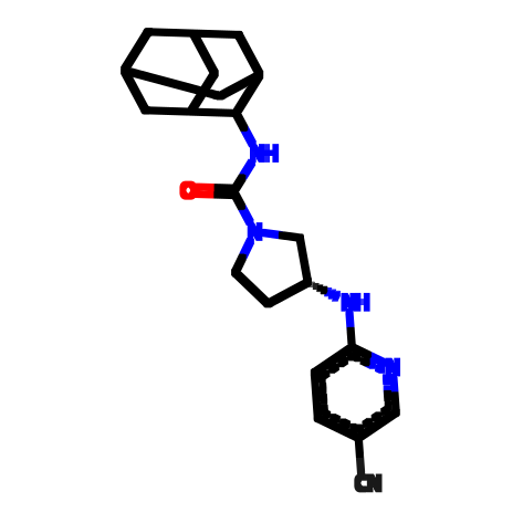 N#Cc1ccc(N[C@@H]2CCN(C(=O)NC3C4CC5CC(C4)CC3C5)C2)nc1